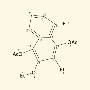 CCOc1c(CC)c(OC(C)=O)c2c(F)cccc2c1OC(C)=O